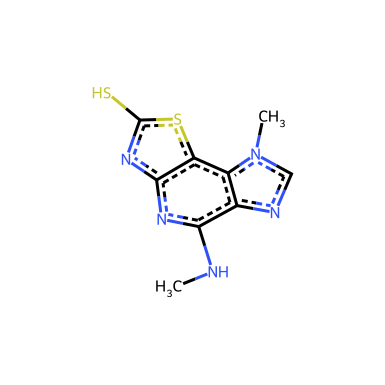 CNc1nc2nc(S)sc2c2c1ncn2C